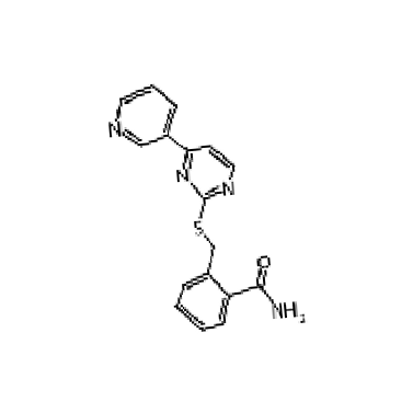 NC(=O)c1ccccc1CSc1nccc(-c2cccnc2)n1